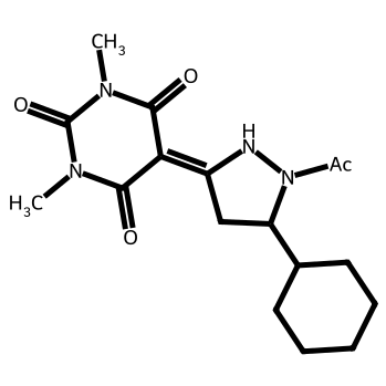 CC(=O)N1NC(=C2C(=O)N(C)C(=O)N(C)C2=O)CC1C1CCCCC1